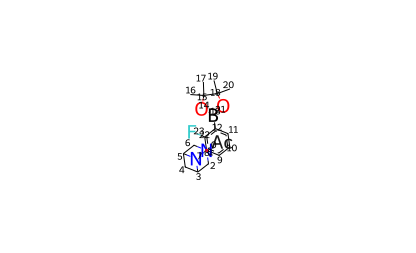 CC(=O)N1CC2CC(C1)N2c1cccc(B2OC(C)(C)C(C)(C)O2)c1F